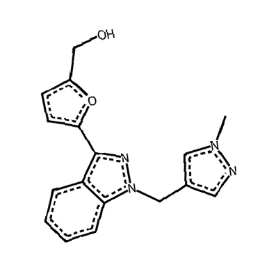 Cn1cc(Cn2nc(-c3ccc(CO)o3)c3ccccc32)cn1